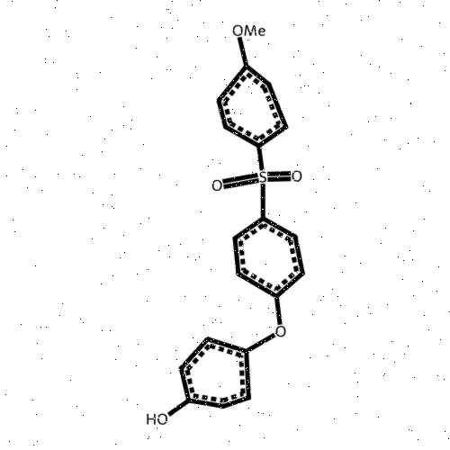 COc1ccc(S(=O)(=O)c2ccc(Oc3ccc(O)cc3)cc2)cc1